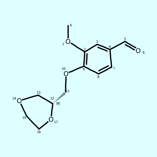 COc1cc(C=O)ccc1OC[C@H]1COCCO1